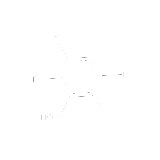 O=S(=O)(O)c1c(F)c(F)cc(F)c1F